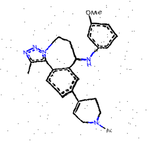 COc1cccc(NC2CCn3nnc(C)c3-c3ccc(C4=CCN(C(C)=O)CC4)cc32)c1